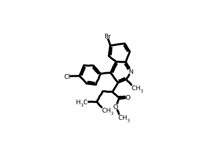 COC(=O)C(CC(C)C)c1c(C)nc2ccc(Br)cc2c1-c1ccc(Cl)cc1